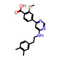 CSc1cc(-c2cc(NCCc3ccc(C)c(C)c3)ncn2)ccc1C(=O)O